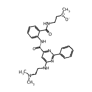 CN(C)CCNc1cc(C(=O)Nc2ccccc2C(=O)NCC[S+](C)[O-])nc(-c2ccccc2)n1